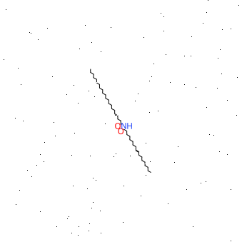 CCCCCCCCC=CCCCCCCCC(=O)NC(=O)CCCCCCCCCCCCCCCCCCCCC